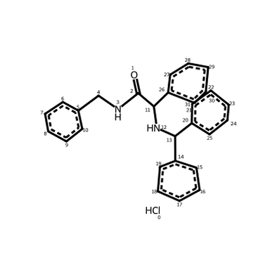 Cl.O=C(NCc1ccccc1)C(NC(c1ccccc1)c1ccccc1)c1ccccc1